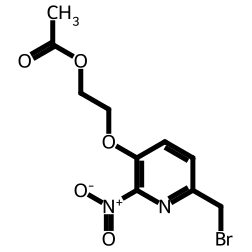 CC(=O)OCCOc1ccc(CBr)nc1[N+](=O)[O-]